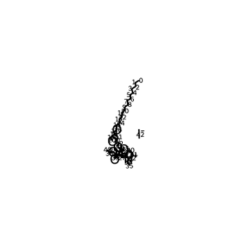 CCCCCCCCCCCCCCCCOC[C@H]1CO[C@H](COC(=O)N(Cc2cccc[n+]2CC)C(=O)OCC)C1.[I-]